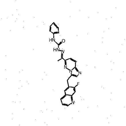 C/C(=N\NC(=O)Nc1ccccc1)c1ccc2ncc(Cc3cc4cccnc4cc3F)n2n1